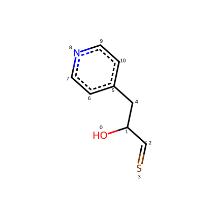 OC([C]=S)Cc1ccncc1